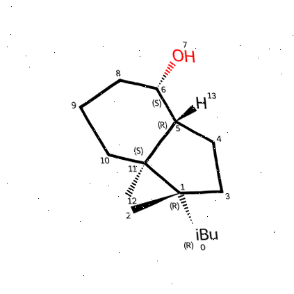 CC[C@@H](C)[C@@]1(C)CC[C@H]2[C@@H](O)CCC[C@@]21C